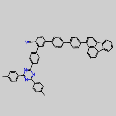 Cc1ccc(-c2nc(-c3ccc(C)cc3)nc(-c3ccc(-c4cc(-c5ccc(-c6ccc(-c7ccc8c9c(cccc79)-c7ccccc7-8)cc6)cc5)ccc4C#N)cc3)n2)cc1